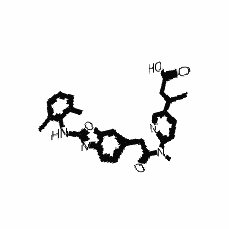 Cc1cccc(C)c1Nc1nc2ccc(CC(=O)N(C)c3ccc(C(C)CC(=O)O)cn3)cc2o1